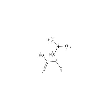 CN(C)C.O=C(O)CCl